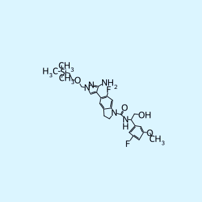 COc1cc(F)cc(C(CO)NC(=O)N2CCc3cc(-c4cn(COCC[Si](C)(C)C)nc4N)c(F)cc32)c1